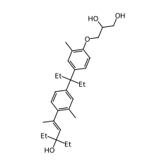 CCC(O)(C=C(C)c1ccc(C(CC)(CC)c2ccc(OCC(O)CO)c(C)c2)cc1C)CC